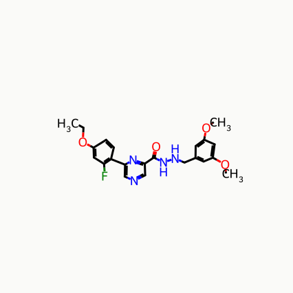 CCOc1ccc(-c2cncc(C(=O)NNCc3cc(OC)cc(OC)c3)n2)c(F)c1